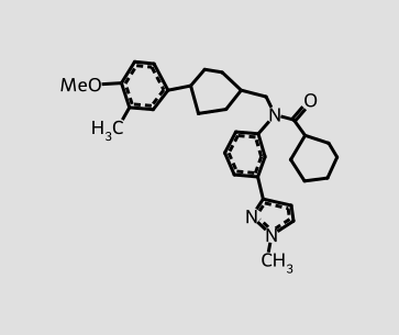 COc1ccc(C2CCC(CN(C(=O)C3CCCCC3)c3cccc(-c4ccn(C)n4)c3)CC2)cc1C